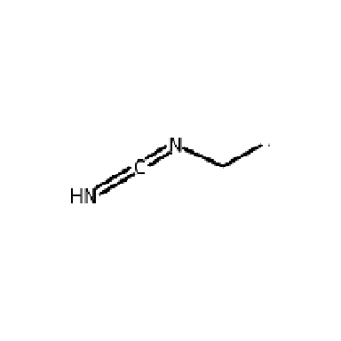 [CH2]CN=C=N